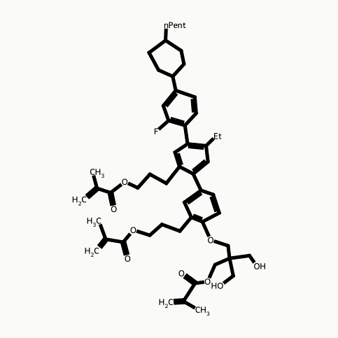 C=C(C)C(=O)OCCCc1cc(-c2cc(CC)c(-c3ccc(C4CCC(CCCCC)CC4)cc3F)cc2CCCOC(=O)C(=C)C)ccc1OCC(CO)(CO)COC(=O)C(=C)C